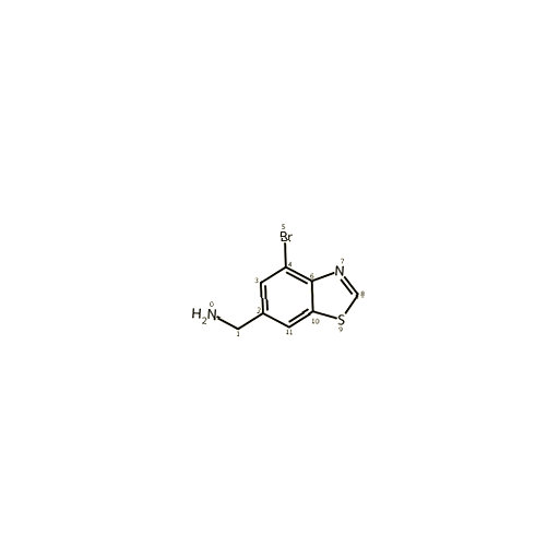 NCc1cc(Br)c2n[c]sc2c1